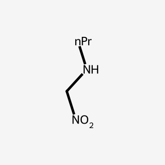 CCCNC[N+](=O)[O-]